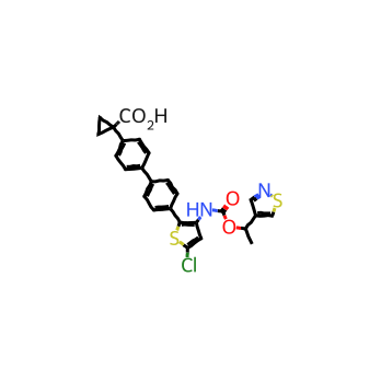 CC(OC(=O)Nc1cc(Cl)sc1-c1ccc(-c2ccc(C3(C(=O)O)CC3)cc2)cc1)c1cnsc1